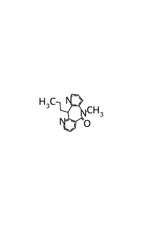 CCCC1c2ncccc2C(=O)N(C)c2cccnc21